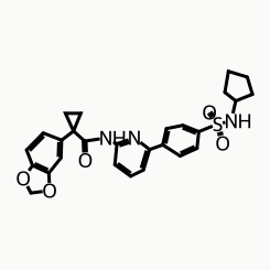 O=C(Nc1cccc(-c2ccc(S(=O)(=O)NC3CCCC3)cc2)n1)C1(c2ccc3c(c2)OCO3)CC1